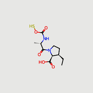 CC[C@@H]1CCN(C(=O)[C@H](C)NC(=O)OS)[C@@H]1C(=O)O